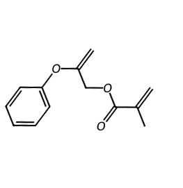 C=C(COC(=O)C(=C)C)Oc1ccccc1